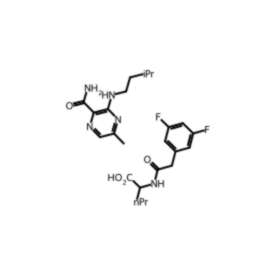 CCCC(NC(=O)Cc1cc(F)cc(F)c1)C(=O)O.Cc1cnc(C(N)=O)c(NCCC(C)C)n1